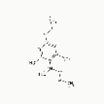 CCCc1cc(C)c(N(C)CCC)c(C)c1